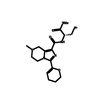 CNC(=O)[C@H](CC(C)C)NC(=O)c1nc(C2=CCCCO2)n2c1CN(C)CC2